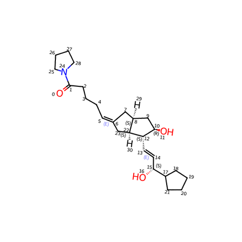 O=C(CCC/C=C1\C[C@H]2C[C@@H](O)[C@H](/C=C/[C@@H](O)C3CCCC3)[C@H]2C1)N1CCCC1